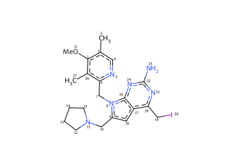 COc1c(C)cnc(Cn2c(CN3CCCC3)cc3c(CI)nc(N)nc32)c1C